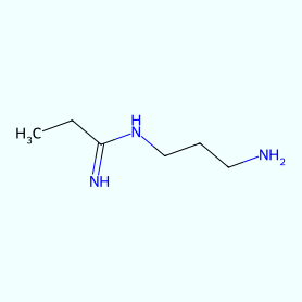 CCC(=N)NCCCN